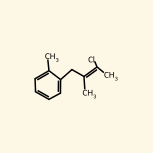 C/C(Cl)=C(\C)Cc1ccccc1C